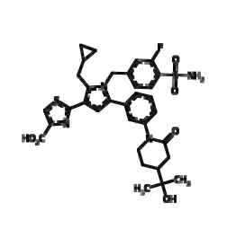 CC(C)(O)C1CCN(c2cccc(-c3cc(-c4nc(C(=O)O)cs4)c(CC4CC4)n3Cc3ccc(S(N)(=O)=O)c(F)c3)c2)C(=O)C1